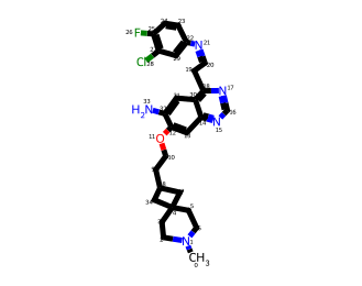 CN1CCC2(CC1)CC(CCOc1cc3ncnc(C/C=N\c4ccc(F)c(Cl)c4)c3cc1N)C2